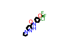 O=C(Nc1ccc(OC(F)(F)Cl)cc1)c1ccc(N2CCCC2)nc1